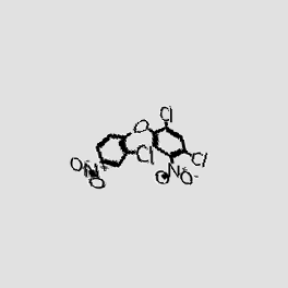 O=[N+]([O-])c1ccc(Oc2cc([N+](=O)[O-])c(Cl)cc2Cl)c(Cl)c1